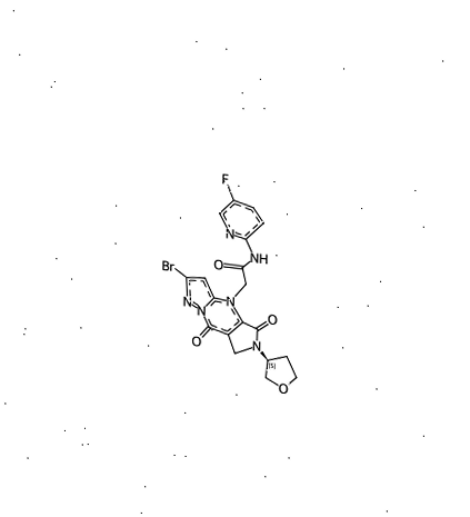 O=C(Cn1c2c(c(=O)n3nc(Br)cc13)CN([C@H]1CCOC1)C2=O)Nc1ccc(F)cn1